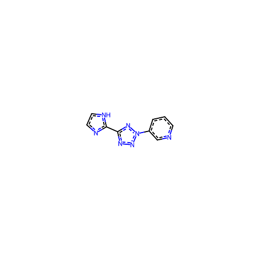 c1cncc(-n2nnc(-c3ncc[nH]3)n2)c1